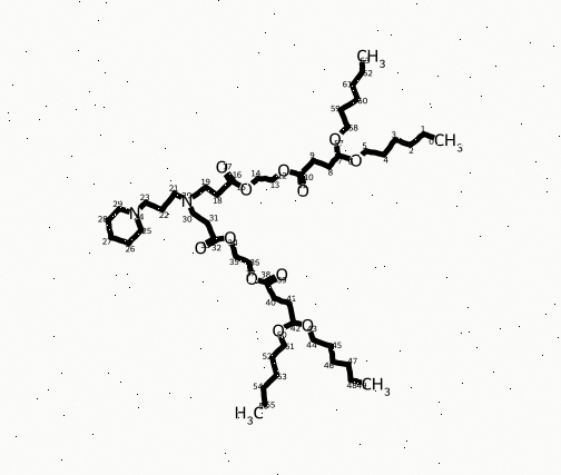 CCCCCCOC(CCC(=O)OCCOC(=O)CCN(CCCN1CCCCC1)CCC(=O)OCCOC(=O)CCC(OCCCCCC)OCCCCCC)OCCCCCC